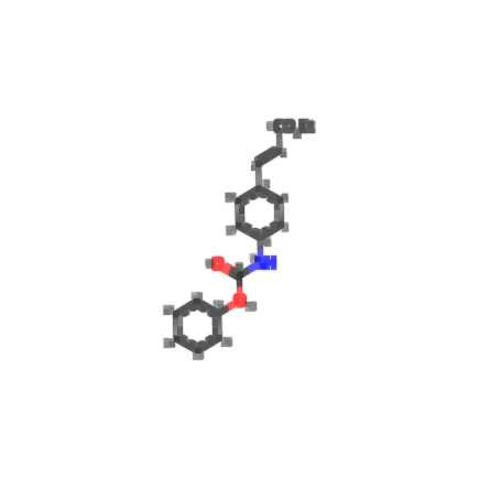 CCOC(=O)/C=C/c1ccc(NC(=O)Oc2ccccc2)cc1